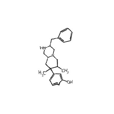 CC1CN2CC(Cc3ccccc3)NCC2CC1(C)c1cccc(O)c1